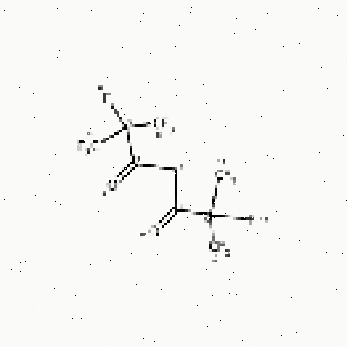 O=C(CC(=O)C(F)(C(F)(F)F)C(F)(F)F)C(F)(C(F)(F)F)C(F)(F)F